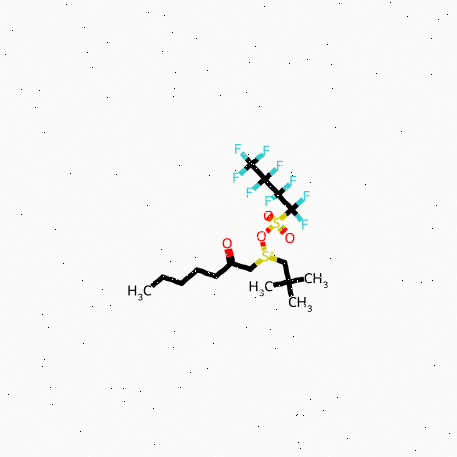 CCCCCC(=O)C[S+](CC(C)(C)C)OS(=O)(=O)C(F)(F)C(F)(F)C(F)(F)C(F)(F)F